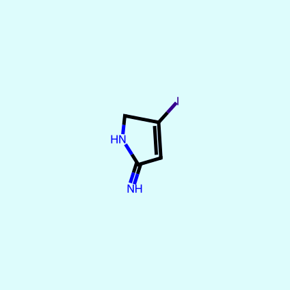 N=C1C=C(I)CN1